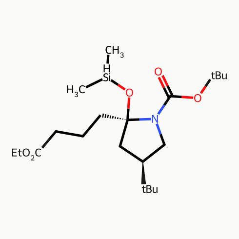 CCOC(=O)CCC[C@@]1(O[SiH](C)C)C[C@H](C(C)(C)C)CN1C(=O)OC(C)(C)C